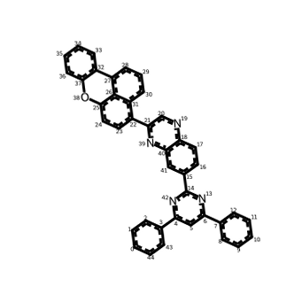 c1ccc(-c2cc(-c3ccccc3)nc(-c3ccc4ncc(-c5ccc6c7c(cccc57)-c5ccccc5O6)nc4c3)n2)cc1